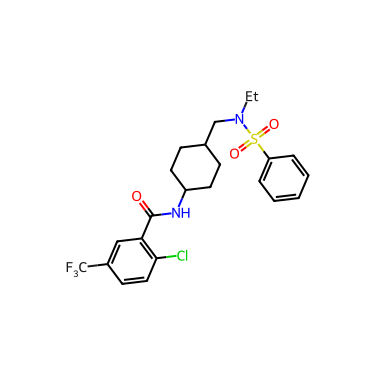 CCN(CC1CCC(NC(=O)c2cc(C(F)(F)F)ccc2Cl)CC1)S(=O)(=O)c1ccccc1